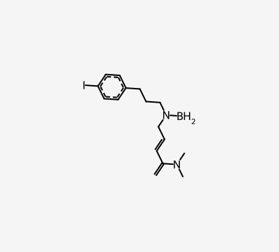 BN(C/C=C/C(=C)N(C)C)CCCc1ccc(I)cc1